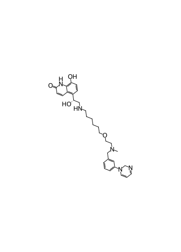 CN(CCOCCCCCCNC[C@H](O)c1ccc(O)c2[nH]c(=O)ccc12)Cc1cccc(N2C=CC=NC2)c1